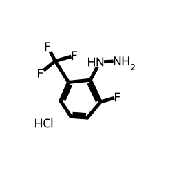 Cl.NNc1c(F)cccc1C(F)(F)F